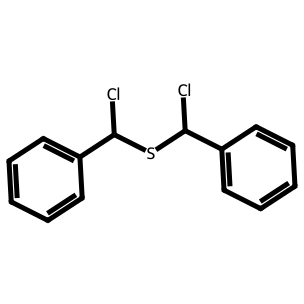 ClC(SC(Cl)c1ccccc1)c1ccccc1